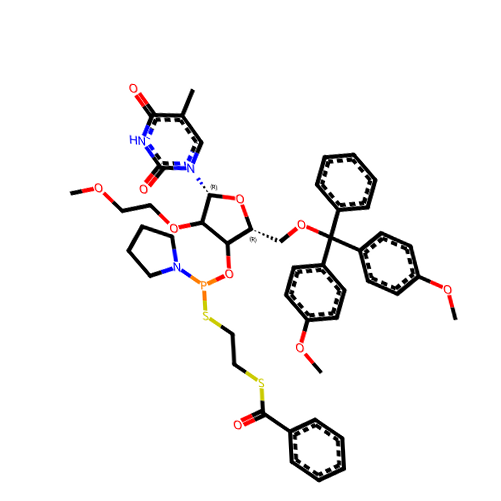 COCCOC1C(OP(SCCSC(=O)c2ccccc2)N2CCCC2)[C@@H](COC(c2ccccc2)(c2ccc(OC)cc2)c2ccc(OC)cc2)O[C@H]1n1cc(C)c(=O)[nH]c1=O